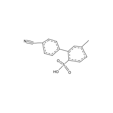 Cc1ccc(S(=O)(=O)O)c(-c2ccc(C#N)cc2)c1